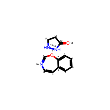 C1=Cc2ccccc2OC=N1.O=C1CCNN1